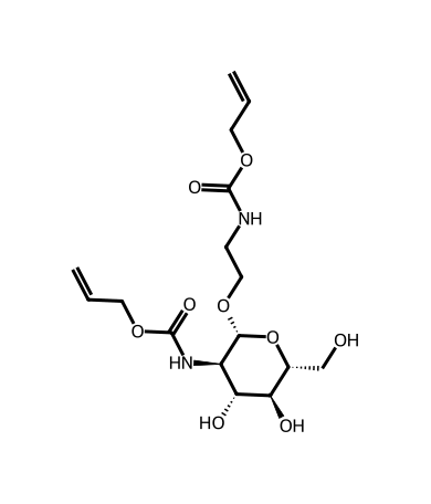 C=CCOC(=O)NCCO[C@@H]1O[C@H](CO)[C@@H](O)[C@H](O)[C@H]1NC(=O)OCC=C